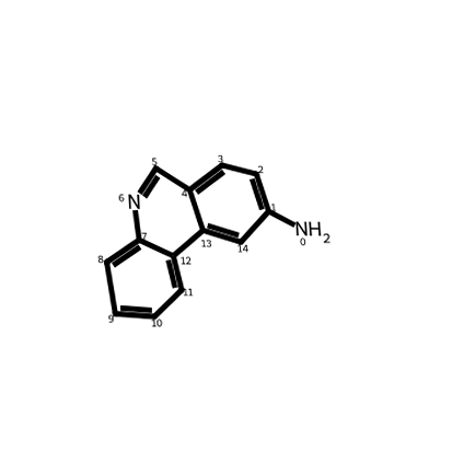 Nc1ccc2cnc3ccccc3c2c1